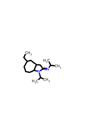 CCC1CCCC2C(C/C(=N\C(C)C)N2C(C)C)C1